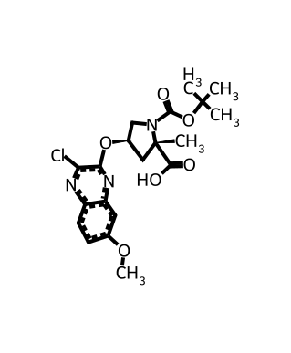 COc1ccc2nc(Cl)c(O[C@H]3CN(C(=O)OC(C)(C)C)[C@](C)(C(=O)O)C3)nc2c1